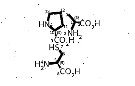 C[C@H](N)C(=O)O.N[C@@H](CS)C(=O)O.O=C(O)[C@@H]1CCCN1